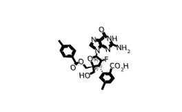 Cc1ccc(C(=O)OC[C@@]2(CO)O[C@@H](n3cnc4c(=O)[nH]c(N)nc43)[C@@H](F)[C@@H]2c2cc(C)ccc2C(=O)O)cc1